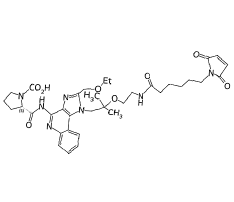 CCOCc1nc2c(NC(=O)[C@@H]3CCCN3C(=O)O)nc3ccccc3c2n1CC(C)(C)OCCNC(=O)CCCCCN1C(=O)C=CC1=O